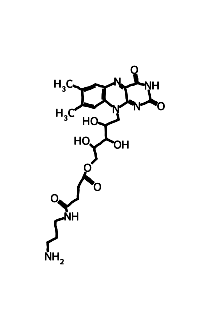 Cc1cc2nc3c(=O)[nH]c(=O)nc-3n(CC(O)C(O)C(O)COC(=O)CCC(=O)NCCCN)c2cc1C